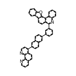 c1cc(-c2ccc3cc(-c4ccnc5c4ccc4cccnc45)ccc3c2)cc(-c2nc3ccccc3c3c2ccc2c4ccccc4oc23)c1